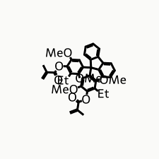 C=C(C)C(=O)Oc1c(OC)cc(C2(c3cc(OC)c(OC(=O)C(=C)C)c(CC)c3OC)c3ccccc3-c3ccccc32)c(OC)c1CC